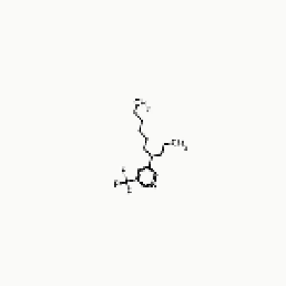 CCCCCCC(CCC)c1cncc(C(F)(F)F)c1